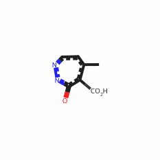 Cc1ccnnc(=O)c1C(=O)O